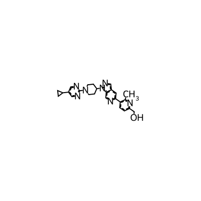 Cc1nc(CO)ccc1-c1cc2cnn(C3CCN(c4ncc(C5CC5)cn4)CC3)c2cn1